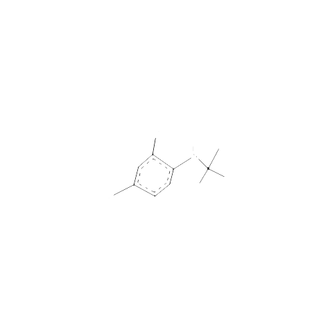 CC(C)(C)Nc1ccc(Br)cc1Cl